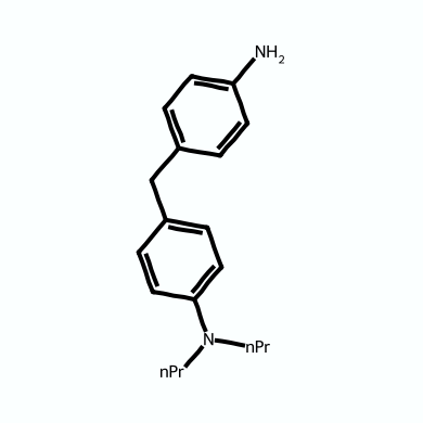 CCCN(CCC)c1ccc(Cc2ccc(N)cc2)cc1